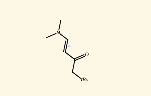 CN(C)/C=C/C(=O)CC(C)(C)C